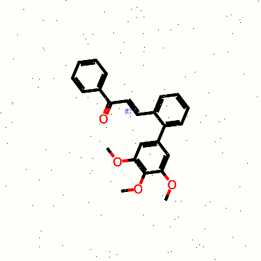 COc1cc(-c2ccccc2/C=C/C(=O)c2ccccc2)cc(OC)c1OC